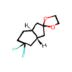 FC1(F)CC[C@H]2CC3(C[C@@H]2C1)OCCO3